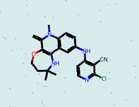 C=C1C2=C(NC(C)(C)CCO2)c2cc(Nc3ccnc(Cl)c3C#N)ccc2N1C